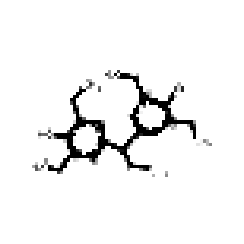 CCc1cc(C(CC)c2cc(CC)c(O)c(CC)c2)cc(CC)c1O